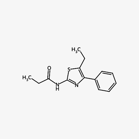 CCC(=O)Nc1nc(-c2ccccc2)c(CC)s1